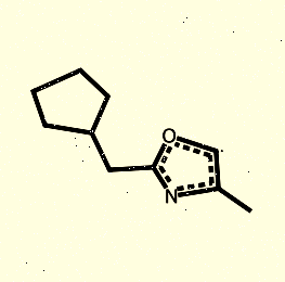 Cc1[c]oc(CC2CCCC2)n1